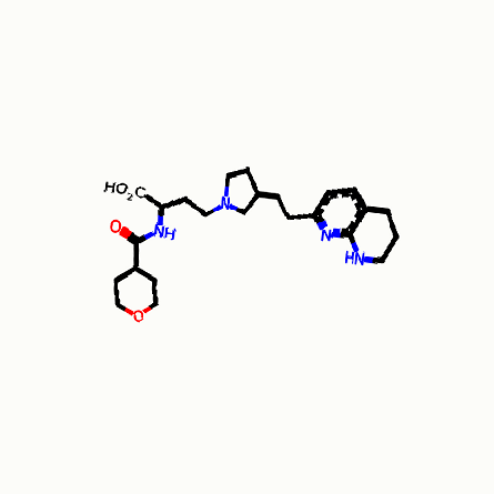 O=C(NC(CCN1CCC(CCc2ccc3c(n2)NCCC3)C1)C(=O)O)C1CCOCC1